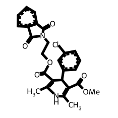 COC(=O)C1=C(C)NC(C)=C(C(=O)OCCN2C(=O)c3ccccc3C2=O)C1c1cccc(Cl)c1